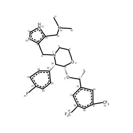 C[C@@H](O[C@H]1OCCN(Cc2nc[nH]c2CN(C)C)[C@H]1c1ccc(F)cc1)c1cc(C(F)(F)F)cc(C(F)(F)F)c1